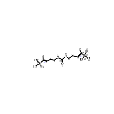 CC[Si](CC)(CC)/C(C)=C/CCOC(=O)OCC/C=C(\C)[Si](CC)(CC)CC